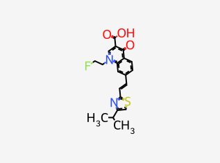 CC(C)c1csc(C=Cc2ccc3c(=O)c(C(=O)O)cn(CCF)c3c2)n1